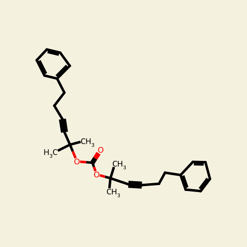 CC(C)(C#CCCc1ccccc1)OC(=O)OC(C)(C)C#CCCc1ccccc1